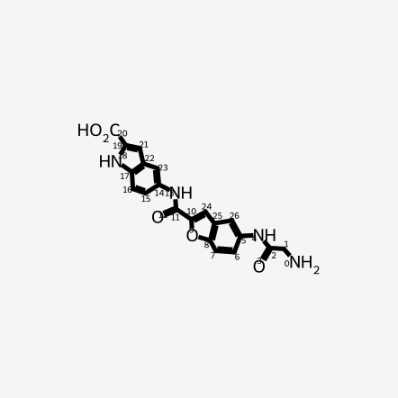 NCC(=O)Nc1ccc2oc(C(=O)Nc3ccc4[nH]c(C(=O)O)cc4c3)cc2c1